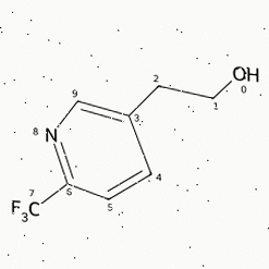 OCCc1ccc(C(F)(F)F)nc1